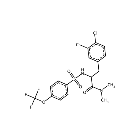 CN(C)C(=O)C(Cc1ccc(Cl)c(Cl)c1)NS(=O)(=O)c1ccc(OC(F)(F)F)cc1